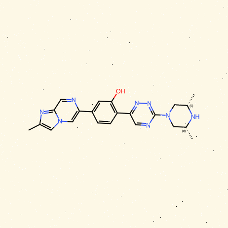 Cc1cn2cc(-c3ccc(-c4cnc(N5C[C@@H](C)N[C@@H](C)C5)nn4)c(O)c3)ncc2n1